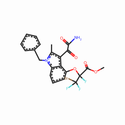 COC(=O)C(F)(Oc1cccc2c1c(C(=O)C(N)=O)c(C)n2Cc1ccccc1)C(F)(F)Br